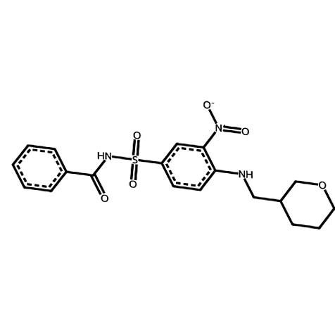 O=C(NS(=O)(=O)c1ccc(NCC2CCCOC2)c([N+](=O)[O-])c1)c1ccccc1